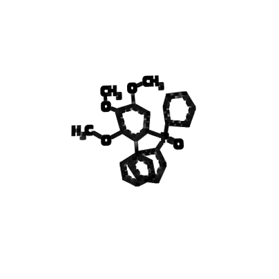 COc1cc(P(=O)(c2ccccc2)c2ccccc2)c(-c2ccccc2)c(OC)c1OC